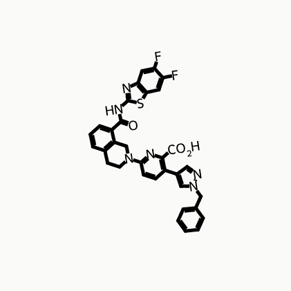 O=C(Nc1nc2cc(F)c(F)cc2s1)c1cccc2c1CN(c1ccc(-c3cnn(Cc4ccccc4)c3)c(C(=O)O)n1)CC2